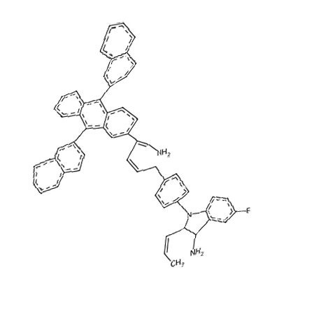 C/C=C\C1C(N)c2cc(F)ccc2N1c1ccc(C/C=C\C(=C/N)c2ccc3c(-c4ccc5ccccc5c4)c4ccccc4c(-c4ccc5ccccc5c4)c3c2)cc1